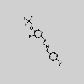 COc1ccc(/C=N/N=C/c2ccc(OCC(F)(F)F)c(F)c2)cc1